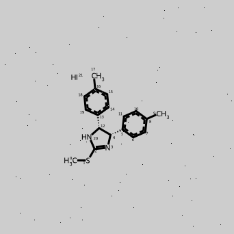 CSC1=N[C@@H](c2ccc(C)cc2)[C@@H](c2ccc(C)cc2)N1.I